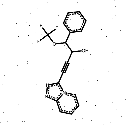 OC(C#Cc1nnc2ccccn12)C(OC(F)(F)F)c1ccccc1